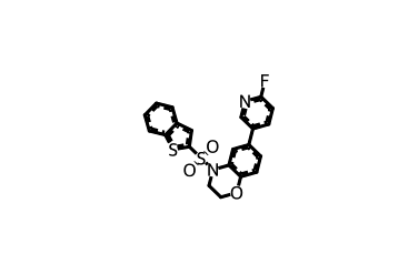 O=S(=O)(c1cc2ccccc2s1)N1CCOc2ccc(-c3ccc(F)nc3)cc21